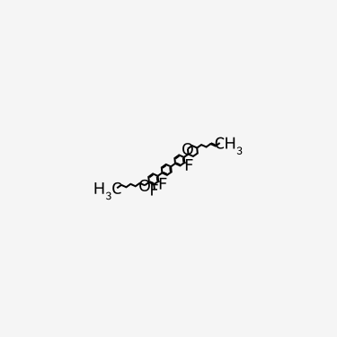 C/C=C/CCC1CCC(c2ccc(-c3ccc(-c4ccc(OCCCCCC)c(F)c4F)cc3)cc2F)OC1